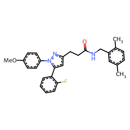 COc1ccc(-n2nc(CCC(=O)NCc3cc(C)ccc3C)cc2-c2ccccc2F)cc1